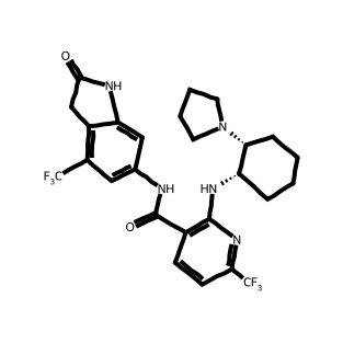 O=C1Cc2c(cc(NC(=O)c3ccc(C(F)(F)F)nc3N[C@H]3CCCC[C@H]3N3CCCC3)cc2C(F)(F)F)N1